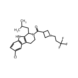 CC(C)CC1c2[nH]c3ccc(Cl)cc3c2CCN1C(=O)C1CN(CCC(F)(F)F)C1